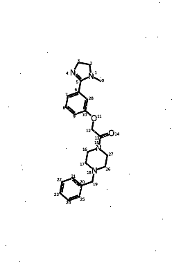 CN1CCN=C1c1cccc(OCC(=O)N2CCN(Cc3ccccc3)CC2)c1